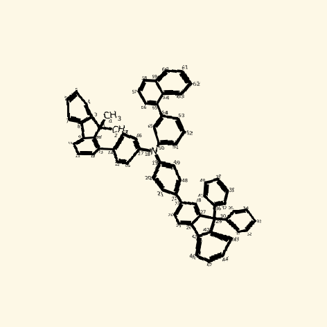 CC1(C)c2ccccc2-c2cccc(-c3ccc(N(c4ccc(-c5ccc6c(c5)C(c5ccccc5)(c5ccccc5)c5ccccc5-6)cc4)c4cccc(-c5cccc6ccccc56)c4)cc3)c21